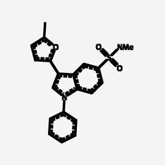 CNS(=O)(=O)c1ccc2c(c1)c(-c1ccc(C)o1)cn2-c1ccccc1